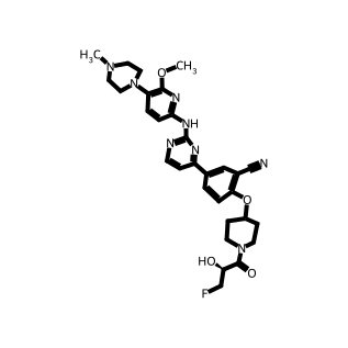 COc1nc(Nc2nccc(-c3ccc(OC4CCN(C(=O)[C@H](O)CF)CC4)c(C#N)c3)n2)ccc1N1CCN(C)CC1